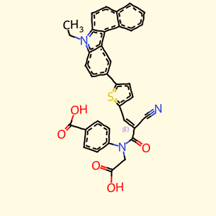 CCn1c2ccc(-c3ccc(/C=C(\C#N)C(=O)N(CC(=O)O)c4ccc(C(=O)O)cc4)s3)cc2c2c3ccccc3ccc21